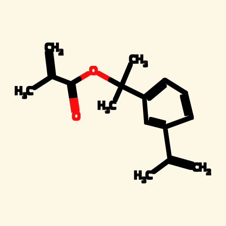 C=C(C)C(=O)OC(C)(C)c1cccc(C(=C)C)c1